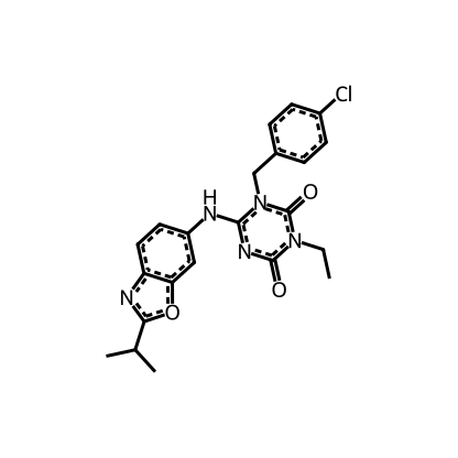 CCn1c(=O)nc(Nc2ccc3nc(C(C)C)oc3c2)n(Cc2ccc(Cl)cc2)c1=O